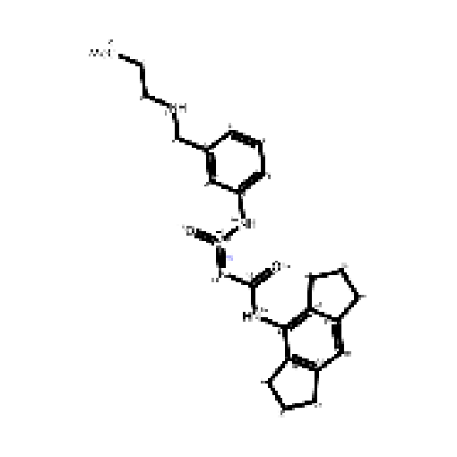 COCCNCc1cccc(N/[SH](=O)=N\C(=O)Nc2c3c(cc4c2CCC4)CCC3)c1